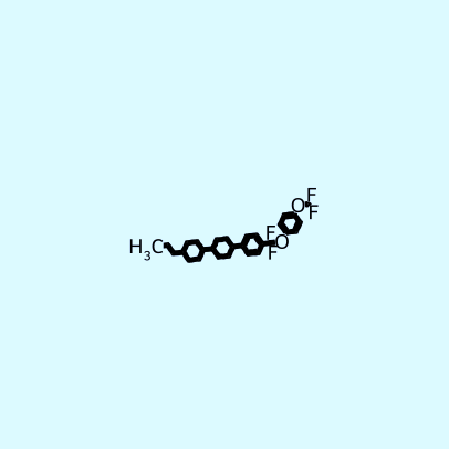 CCCC1CCC(C2CCC(c3ccc(C(F)(F)Oc4ccc(OC(F)F)cc4)cc3)CC2)CC1